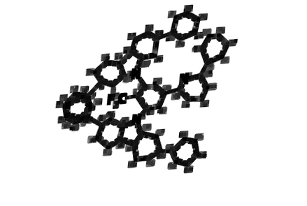 FC(F)(F)c1c(-n2c3cc(-c4ccccc4)ccc3c3ccc(-c4ccccc4)cc32)cc(-c2cccc(-c3ccccc3)n2)cc1-n1c2cc(-c3ccccc3)ccc2c2ccc(-c3ccccc3)cc21